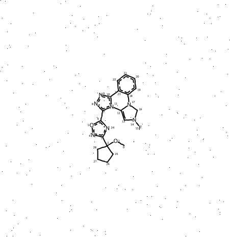 COC1(c2noc(-c3nnc4n3C3=CN(F)CN3c3ccccc3-4)n2)CCCC1